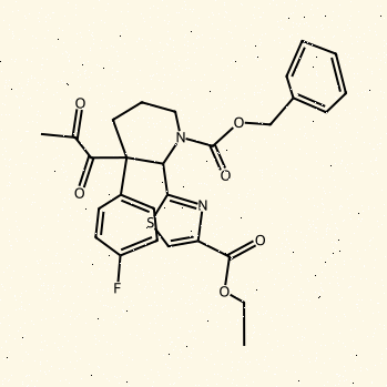 CCOC(=O)c1csc(C2N(C(=O)OCc3ccccc3)CCCC2(C(=O)C(C)=O)c2ccc(F)cc2)n1